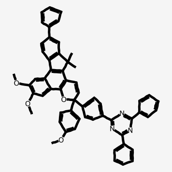 COc1ccc(C2(c3ccc(-c4nc(-c5ccccc5)nc(-c5ccccc5)n4)cc3)C=Cc3c4c(c5cc(OC)c(OC)cc5c3O2)-c2ccc(-c3ccccc3)cc2C4(C)C)cc1